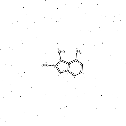 Nc1cccn2nc(C=O)c(C=O)c12